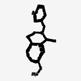 COc1ccc2c(c1)C(=O)N(Cc1cccnc1)CC2